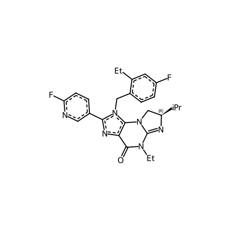 CCc1cc(F)ccc1Cn1c(-c2ccc(F)nc2)nc2c1N1C[C@@H](C(C)C)N=C1N(CC)C2=O